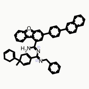 CC1(C2=CC=CCC2)C=CC(C(=N/Cc2ccccc2)/N=C(\N)c2cc(-c3ccc(-c4ccc5ccccc5c4)cc3)cc3oc4ccccc4c23)=CC1